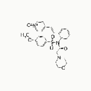 COc1ccc(S(=O)(=O)N(C(=O)CN2CCOCC2)c2ccccc2C=Cc2cc[n+]([O-])cc2)cc1